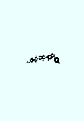 CCCn1cc(S(=O)(=O)N2CC3CN(c4cc5cnn(-c6ccc(F)cc6)c5cc4C)C[C@@H]3C2)cn1